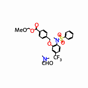 CN(C)C=O.COCOC(=O)c1ccc(COc2cc(C(F)(F)F)ccc2N(C)S(=O)(=O)c2ccccc2)cc1